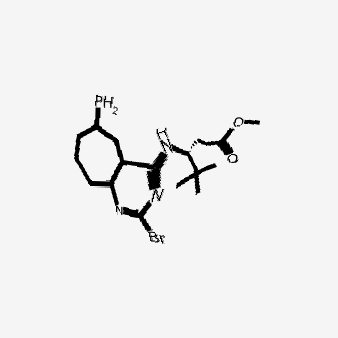 COC(=O)C[C@@H](NC1=NC(Br)=NC2CCCC(P)CC12)C(C)(C)C